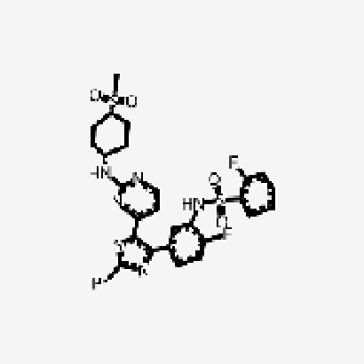 CC(C)c1nc(-c2ccc(F)c(NS(=O)(=O)c3ccccc3F)c2)c(-c2ccnc(N[C@H]3CC[C@H](S(C)(=O)=O)CC3)n2)s1